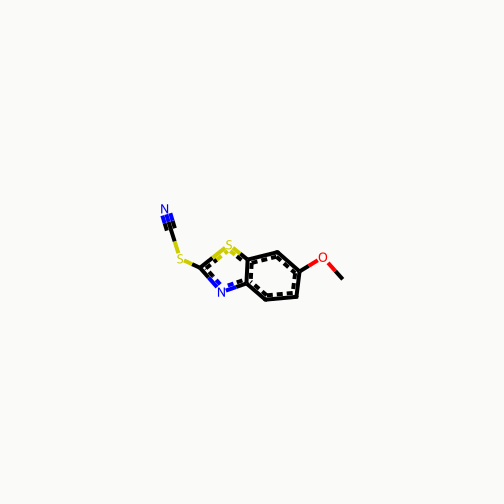 COc1ccc2nc(SC#N)sc2c1